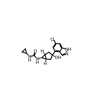 O=C(NC1CC1)N[C@H]1[C@@H]2C[C@](O)(c3cc(Cl)cc4[nH]ncc34)C[C@@H]21